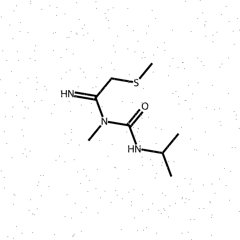 CSCC(=N)N(C)C(=O)NC(C)C